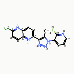 Cc1c(-c2ccc3nc(Cl)ccc3n2)nnn1-c1cccnc1F